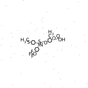 CSc1ccc(-c2sc(COc3ccc(OCC(=O)O)c(C)c3)nc2-c2ccc(OC(F)(F)F)cc2)cc1